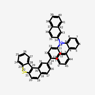 c1ccc(-c2ccccc2N(c2ccc(-c3ccc4ccc5sc6ccccc6c5c4c3)cc2)c2ccc3ccccc3c2)cc1